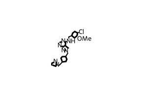 COc1cc(CNc2ncnc3nn(Cc4ccc(Cn5cccn5)cc4)cc23)ccc1Cl